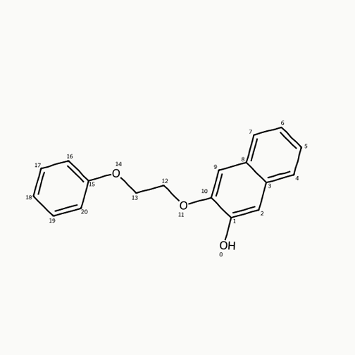 Oc1cc2ccccc2cc1OCCOc1ccccc1